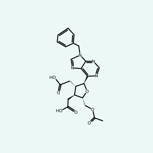 CC(=O)OC[C@H]1O[C@H](c2ncnc3c2ncn3Cc2ccccc2)[C@@H](CC(=O)O)[C@@H]1CC(=O)O